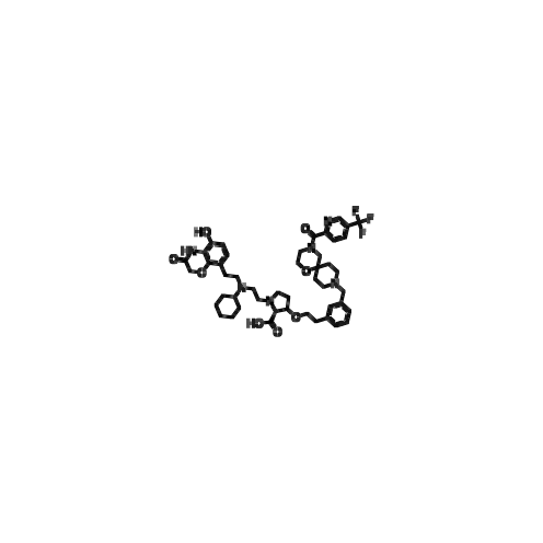 O=C1COc2c(CCN(CCN3CCC(OCCc4cccc(CN5CCC6(CC5)CN(C(=O)c5ccc(C(F)(F)F)cn5)CCO6)c4)[C@H]3C(=O)O)C3CCCCC3)ccc(O)c2N1